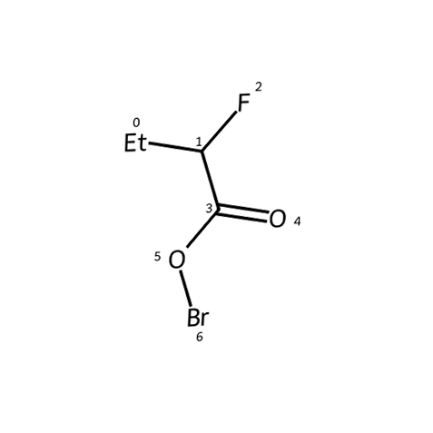 CCC(F)C(=O)OBr